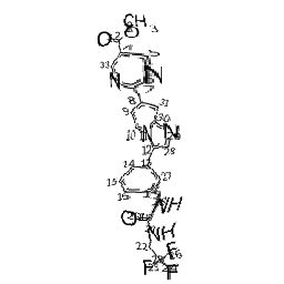 COC(=O)c1cnc(-c2ccn3c(-c4cccc(NC(=O)NCC(F)(F)F)c4)cnc3c2)nc1